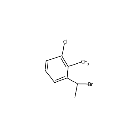 CC(Br)c1cccc(Cl)c1C(F)(F)F